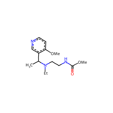 CCN(CCNC(=O)OC)C(C)c1cnccc1OC